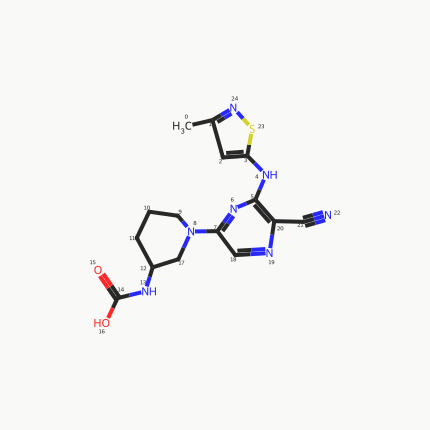 Cc1cc(Nc2nc(N3CCCC(NC(=O)O)C3)cnc2C#N)sn1